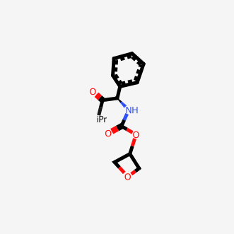 CC(C)C(=O)[C@H](NC(=O)OC1COC1)c1ccccc1